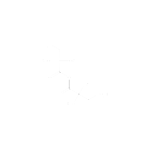 CC(=O)OC(CC(=O)O)(OC(C)=O)C(=O)OC(=O)C(CC(=O)O)(OC(C)=O)OC(C)=O